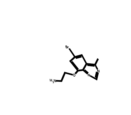 Cc1ncnc2c(OCCN)cc(Br)cc12